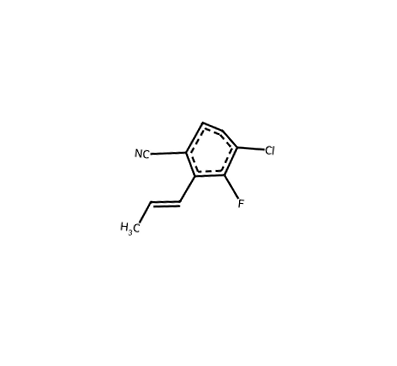 C/C=C/c1c(C#N)ccc(Cl)c1F